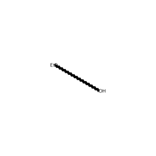 CCOCCCCCCCCCCCCCCCCCCCCCCCCCCCCCO